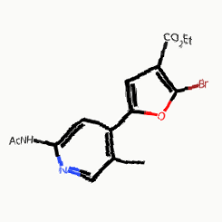 CCOC(=O)c1cc(-c2cc(NC(C)=O)ncc2C)oc1Br